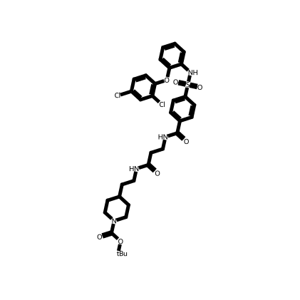 CC(C)(C)OC(=O)N1CCC(CCNC(=O)CCNC(=O)c2ccc(S(=O)(=O)Nc3ccccc3Oc3ccc(Cl)cc3Cl)cc2)CC1